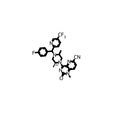 CC1CN(c2nc(=O)n(C)c3ccc(C#N)nc23)[C@@H](C)CN1C(c1ccc(F)cc1)c1ccc(C(F)(F)F)cn1